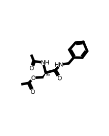 CC(=O)N[C@H](COC(C)=O)C(=O)NCc1ccccc1